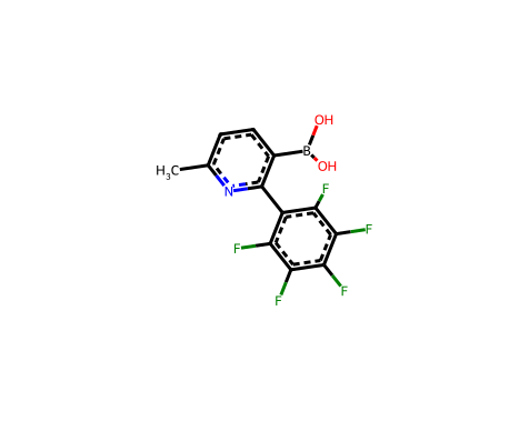 Cc1ccc(B(O)O)c(-c2c(F)c(F)c(F)c(F)c2F)n1